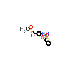 CC(=O)SCC(=O)c1ccc(NS(=O)(=O)C2Cc3ccccc3S2)cc1